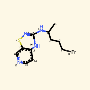 CC(C)CCCC(C)NC1=NSc2cnccc2N1